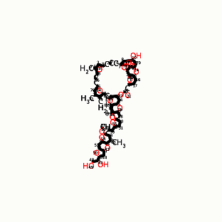 C=C1CC2CCC[C@@]34C[C@@]5(O)OC6C(OC7CCC(CC(=O)OC8CC9OC%10C[C@]%11(CCC(CC[C@]%12(OC)C[C@H](C)C%13OC%14CC(C(O)CO)OC%14CC%13O%12)O%11)O[C@@H]%10C[C@@H]9O[C@H]8CC8OC(CCC1O2)C[C@@H](C)C8=C)O[C@@H]7C6O3)C5O4